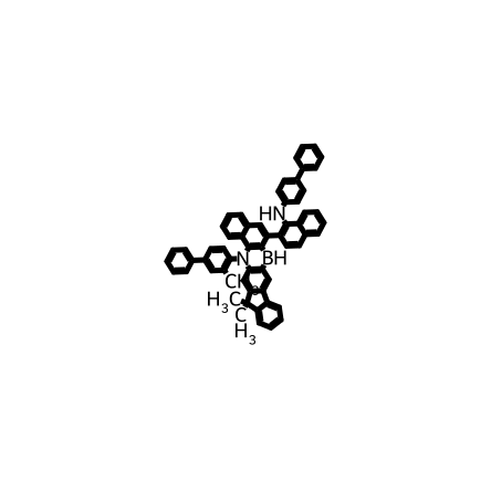 Cc1cc(-c2ccccc2)ccc1N1c2cc3c(cc2Bc2c(-c4ccc5ccccc5c4Nc4ccc(-c5ccccc5)cc4)cc4ccccc4c21)-c1ccccc1C3(C)C